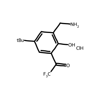 CC(C)(C)c1cc(CN)c(O)c(C(=O)C(F)(F)F)c1.Cl